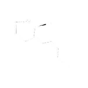 CC/C=C\C=C1\CCCN[C@H]1C